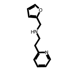 c1ccc(CCNCc2ccco2)nc1